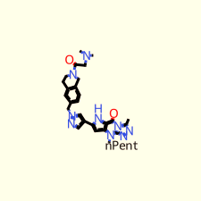 CCCCCn1c2cc(-c3cnn(Cc4ccc5c(c4)CCN(C(=O)CN(C)C)C5)c3)[nH]c2c(=O)n2c(C)nnc12